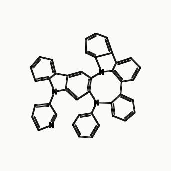 c1ccc(-n2c3ccccc3c3cccc4c5ccccc5n(c5cc6c7ccccc7n(-c7cccnc7)c6cc52)c34)cc1